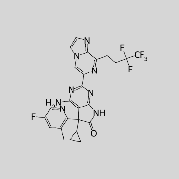 Cc1cc(F)cnc1C1(C2CC2)C(=O)Nc2nc(-c3cn4ccnc4c(CCC(F)(F)C(F)(F)F)n3)nc(N)c21